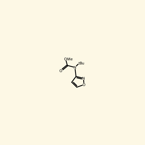 COC(=O)N(c1ccon1)C(C)(C)C